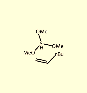 C=CCCCC.CO[SiH](OC)OC